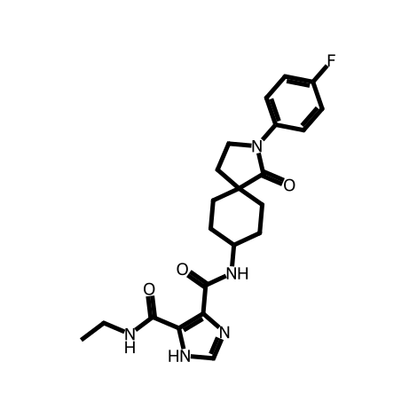 CCNC(=O)c1[nH]cnc1C(=O)NC1CCC2(CC1)CCN(c1ccc(F)cc1)C2=O